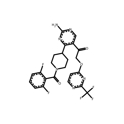 Nc1ncc(C(=O)COc2ccnc(C(F)(F)F)n2)c(C2CCN(C(=O)c3c(F)cccc3F)CC2)n1